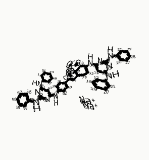 O=S(=O)([O-])C1(S(=O)(=O)[O-])CC(Nc2cc(Nc3ccccc3)nc(Nc3ccccc3)n2)=CC=C1C=Cc1ccc(Nc2cc(Nc3ccccc3)nc(Nc3ccccc3)n2)cc1.[Na+].[Na+]